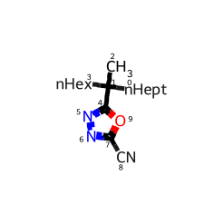 CCCCCCCC(C)(CCCCCC)c1nnc(C#N)o1